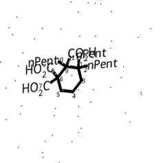 CCCCCC1(CCCCC)CCCC(C(=O)O)(C(=O)O)C1(CCCCC)C(=O)O